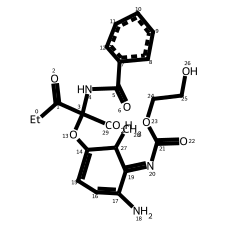 CCC(=O)C(NC(=O)c1ccccc1)(OC1=CC=C(N)C(=NC(=O)OCCO)C1C)C(=O)O